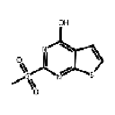 CS(=O)(=O)c1nc(O)c2ccsc2n1